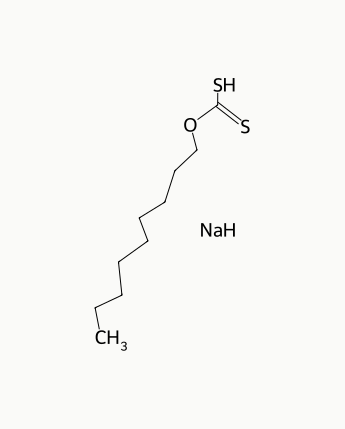 CCCCCCCCCOC(=S)S.[NaH]